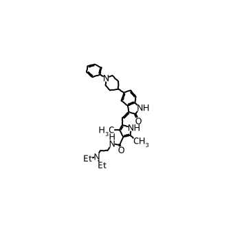 CCN(CC)CCNC(=O)c1c(C)[nH]c(/C=C2\C(=O)Nc3ccc(C4CCN(c5ccccc5)CC4)cc32)c1C